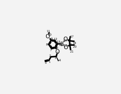 C=CC[C@H](C)Oc1ccc(OC)cc1B1OC(C)(C)C(C)(C)O1